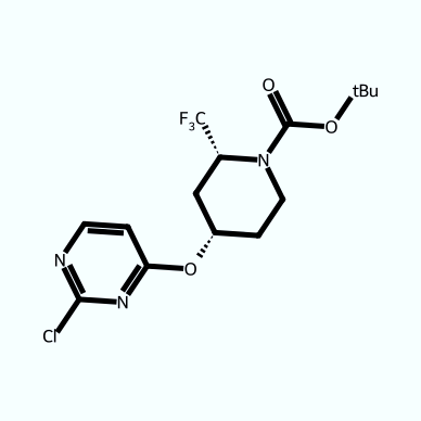 CC(C)(C)OC(=O)N1CC[C@H](Oc2ccnc(Cl)n2)C[C@@H]1C(F)(F)F